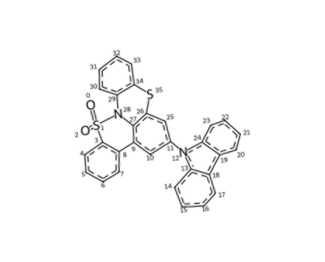 O=S1(=O)c2ccccc2-c2cc(-n3c4ccccc4c4ccccc43)cc3c2N1c1ccccc1S3